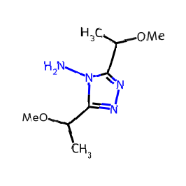 COC(C)c1nnc(C(C)OC)n1N